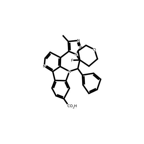 Cc1nnn(C)c1-c1ccnc2c3ccc(C(=O)O)cc3n(C(c3ccccc3)C3(F)CCOCC3)c12